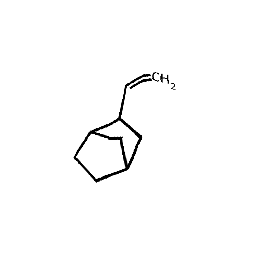 C=CC1CC2CCC1C2